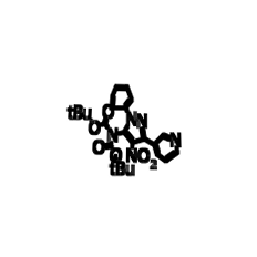 CC(C)(C)OC(=O)N(C(=O)OC(C)(C)C)c1c([N+](=O)[O-])c(-c2cccnc2)nn1-c1ccccc1